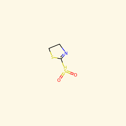 O=[SH](=O)C1=NCCS1